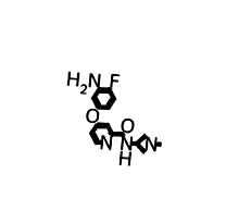 CN1CC(NC(=O)c2cc(Oc3ccc(F)c(N)c3)ccn2)C1